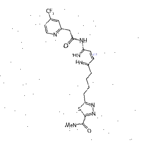 CNC(=O)c1nnc(CCCCC(=N)/C=C\C(=N)NC(=O)Cc2cc(C(F)(F)F)ccn2)s1